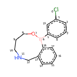 Clc1cccc(B2OCCCNCc3ccccc32)c1